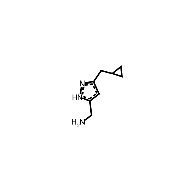 NCc1cc(CC2CC2)n[nH]1